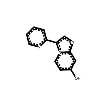 Oc1ccn2c(-c3ccccn3)cnc2c1